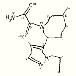 CCn1nccc1C1CCC(C)CN1C(=O)C(N)=O